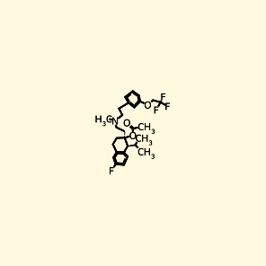 CC(=O)O[C@]1(CCN(C)CCc2cccc(OCC(F)(F)F)c2)CCc2cc(F)ccc2[C@@H]1C(C)C